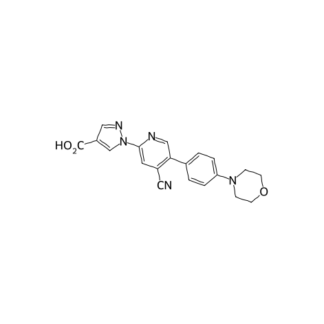 N#Cc1cc(-n2cc(C(=O)O)cn2)ncc1-c1ccc(N2CCOCC2)cc1